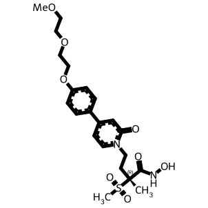 COCCOCCOc1ccc(-c2ccn(CC[C@](C)(C(=O)NO)S(C)(=O)=O)c(=O)c2)cc1